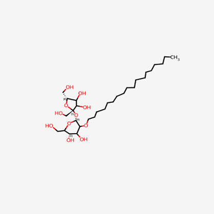 CCCCCCCCCCCCCCCCCCOC1C(O)[C@H](O)C(CO)O[C@@H]1O[C@]1(CO)O[C@H](CO)C(O)C1O